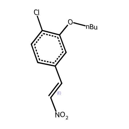 CCCCOc1cc(/C=C/[N+](=O)[O-])ccc1Cl